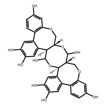 Oc1ccc2c(c1)OC[C@H]1C(O)O[C@H]3COc4cc(O)ccc4-c4cc(O)c(O)cc4[C@@H]3C(O)O[C@@H]1c1cc(O)c(O)cc1-2